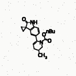 CCCCOC(=O)N1CC(C)CC=C1c1ccc2c(c1)C1(CC1)C(=O)N2